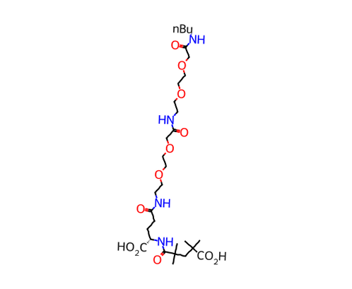 CCCCNC(=O)COCCOCCNC(=O)COCCOCCNC(=O)CC[C@H](NC(=O)C(C)(C)CC(C)(C)C(=O)O)C(=O)O